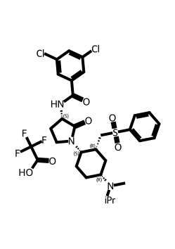 CC(C)N(C)[C@@H]1CC[C@H](N2CC[C@H](NC(=O)c3cc(Cl)cc(Cl)c3)C2=O)[C@H](CS(=O)(=O)c2ccccc2)C1.O=C(O)C(F)(F)F